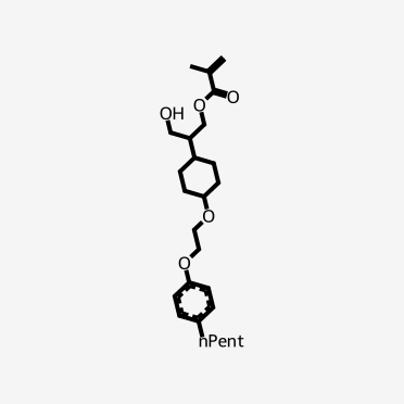 C=C(C)C(=O)OCC(CO)C1CCC(OCCOc2ccc(CCCCC)cc2)CC1